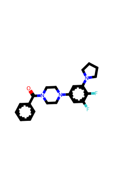 O=C(c1ccccc1)N1CCN(c2cc(F)c(F)c(N3CCCC3)c2)CC1